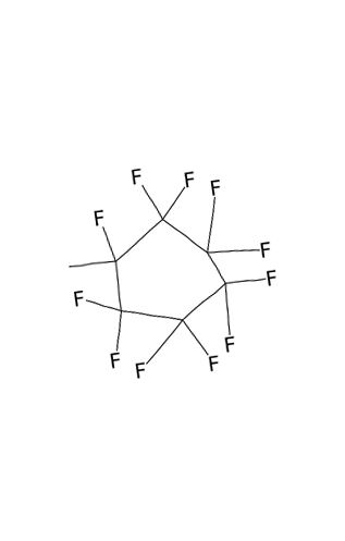 CC1(F)C(F)(F)C(F)(F)C(F)(F)C(F)(F)C1(F)F